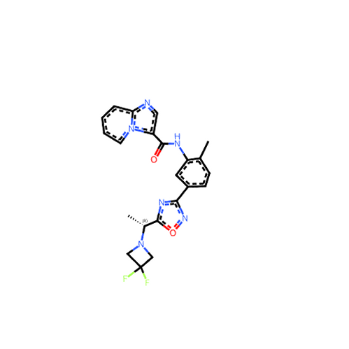 Cc1ccc(-c2noc([C@@H](C)N3CC(F)(F)C3)n2)cc1NC(=O)c1cnc2ccccn12